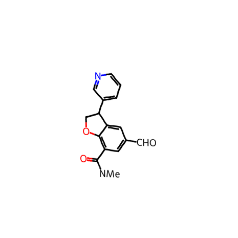 CNC(=O)c1cc(C=O)cc2c1OCC2c1cccnc1